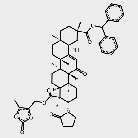 Cc1oc(=O)oc1COC(=O)[C@]1(C)[C@@H](N2CCCC2=O)CC[C@@]2(C)[C@H]1CC[C@]1(C)[C@@H]2C(=O)C=C2[C@@H]3C[C@@](C)(C(=O)OC(c4ccccc4)c4ccccc4)CC[C@]3(C)CC[C@]21C